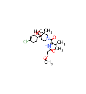 COCCC(=O)N[C@@H](C(=O)N1CC[C@](O)(C2CC=C(Cl)CC2)C(C)(C)C1)C(C)C